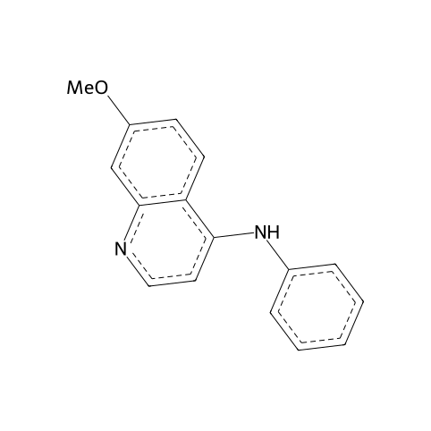 COc1ccc2c(Nc3ccccc3)ccnc2c1